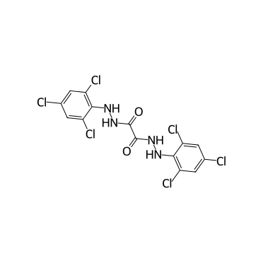 O=C(NNc1c(Cl)cc(Cl)cc1Cl)C(=O)NNc1c(Cl)cc(Cl)cc1Cl